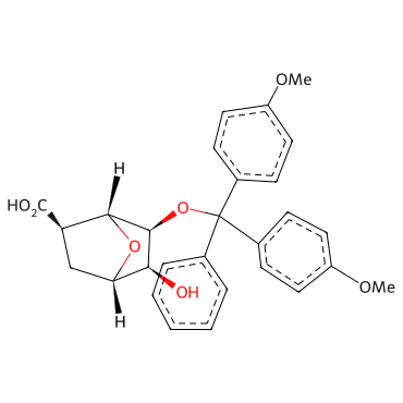 COc1ccc(C(O[C@H]2[C@@H](O)[C@@H]3C[C@@H](C(=O)O)[C@H]2O3)(c2ccccc2)c2ccc(OC)cc2)cc1